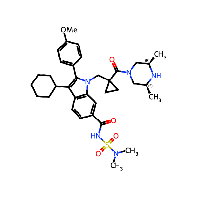 COc1ccc(-c2c(C3CCCCC3)c3ccc(C(=O)NS(=O)(=O)N(C)C)cc3n2CC2(C(=O)N3C[C@@H](C)N[C@@H](C)C3)CC2)cc1